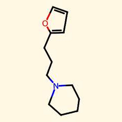 c1coc(CCCN2CCCCC2)c1